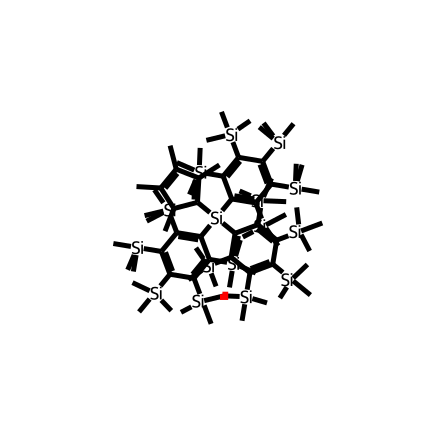 CC1=C(C)C(C)C([Si](c2c([Si](C)(C)C)c([Si](C)(C)C)c([Si](C)(C)C)c([Si](C)(C)C)c2[Si](C)(C)C)(c2c([Si](C)(C)C)c([Si](C)(C)C)c([Si](C)(C)C)c([Si](C)(C)C)c2[Si](C)(C)C)c2c([Si](C)(C)C)c([Si](C)(C)C)c([Si](C)(C)C)c([Si](C)(C)C)c2[Si](C)(C)C)=C1C